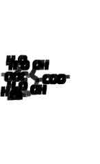 O.O.O.O.O=C([O-])C(O)C(O)C(=O)[O-].[Ca+2]